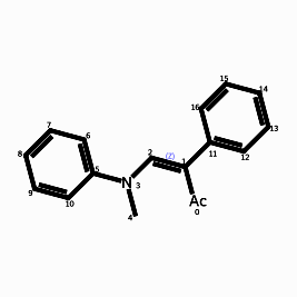 CC(=O)/C(=C\N(C)c1ccccc1)c1ccccc1